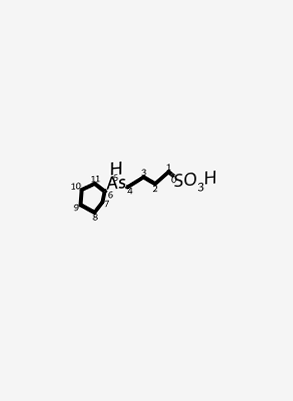 O=S(=O)(O)CCCC[AsH]C1CCCCC1